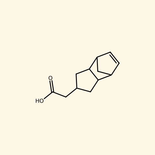 O=C(O)CC1CC2C3C=CC(C3)C2C1